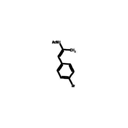 CC(=O)NC(C)=Cc1ccc(Br)cc1